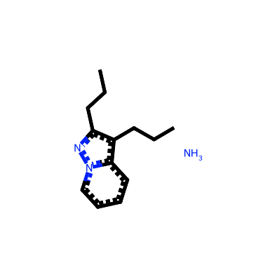 CCCc1nn2ccccc2c1CCC.N